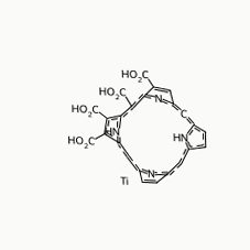 O=C(O)C1=Cc2cc3ccc(cc4nc(cc5[nH]c(c(C(=O)O)c1n2)c(C(=O)O)c5C(=O)O)C=C4)[nH]3.[Ti]